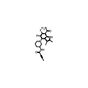 CC#CC(=O)NC1CCCN(c2c(F)c(F)c(C(N)=O)c3[nH]c(C)c(F)c23)C1